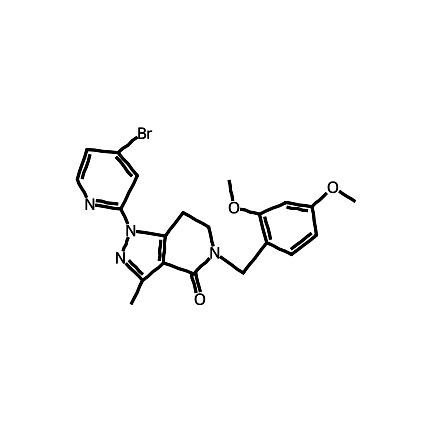 COc1ccc(CN2CCc3c(c(C)nn3-c3cc(Br)ccn3)C2=O)c(OC)c1